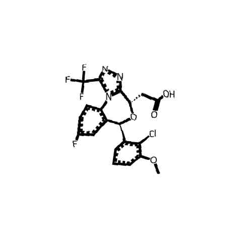 COc1cccc([C@@H]2O[C@@H](CC(=O)O)c3nnc(C(F)(F)F)n3-c3ccc(F)cc32)c1Cl